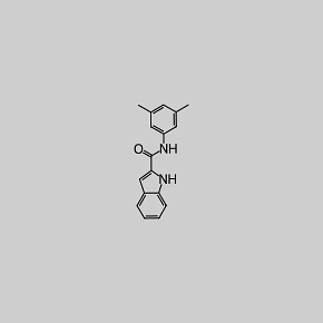 Cc1cc(C)cc(NC(=O)c2cc3ccccc3[nH]2)c1